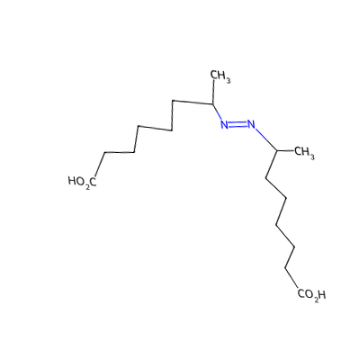 CC(CCCCCC(=O)O)N=NC(C)CCCCCC(=O)O